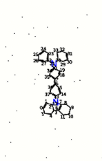 C1=CC2C(CC1)C1=C(CCCC1)N2c1ccc(-c2ccc(N(c3ccccc3)C3CC=CCC3)cc2)cc1